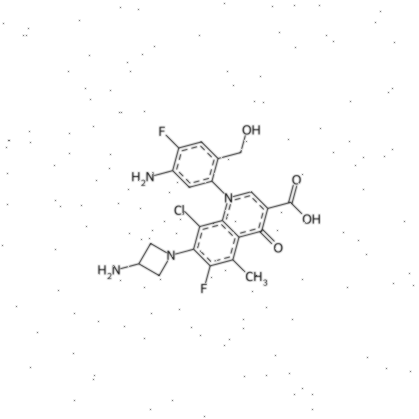 Cc1c(F)c(N2CC(N)C2)c(Cl)c2c1c(=O)c(C(=O)O)cn2-c1cc(N)c(F)cc1CO